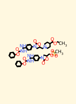 CCOC(=O)C1CCN(CC2CN(c3ccc(C(=N)NC(=O)Oc4ccccc4)cc3)C(=O)O2)CC1.CS(=O)(=O)OCC1CN(c2ccc(C(=N)NC(=O)Oc3ccccc3)cc2)C(=O)O1